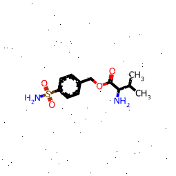 CC(C)C(N)C(=O)OCc1ccc(S(N)(=O)=O)cc1